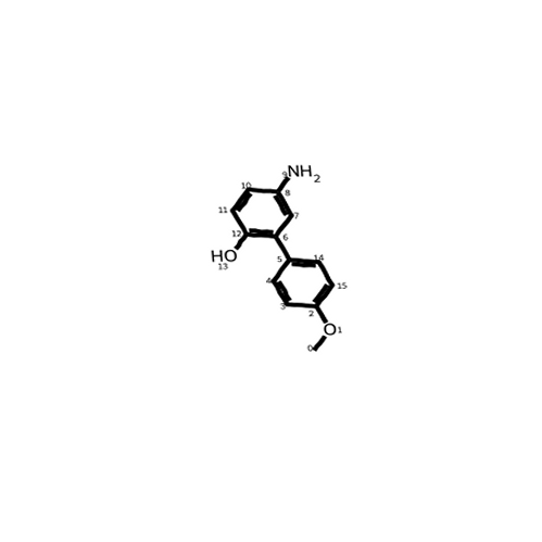 COc1ccc(-c2cc(N)ccc2O)cc1